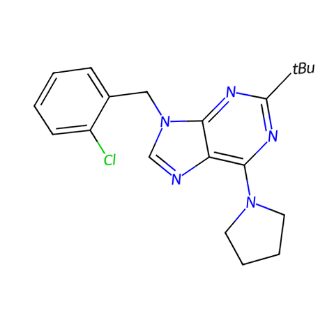 CC(C)(C)c1nc(N2CCCC2)c2ncn(Cc3ccccc3Cl)c2n1